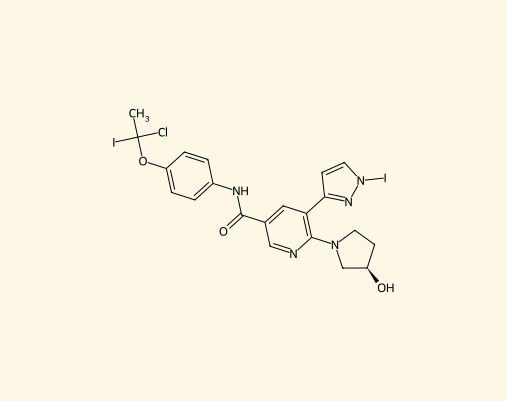 CC(Cl)(I)Oc1ccc(NC(=O)c2cnc(N3CC[C@@H](O)C3)c(-c3ccn(I)n3)c2)cc1